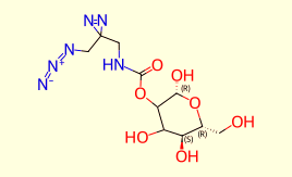 [N-]=[N+]=NCC1(CNC(=O)OC2C(O)[C@H](O)[C@@H](CO)O[C@H]2O)N=N1